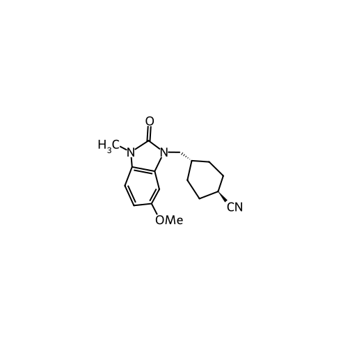 COc1ccc2c(c1)n(C[C@H]1CC[C@H](C#N)CC1)c(=O)n2C